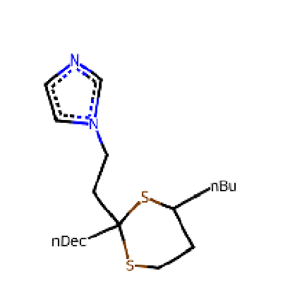 CCCCCCCCCCC1(CCn2ccnc2)SCCC(CCCC)S1